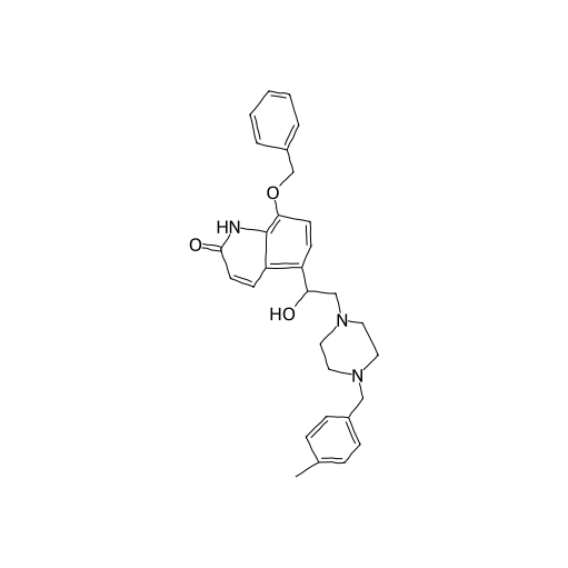 Cc1ccc(CN2CCN(CC(O)c3ccc(OCc4ccccc4)c4[nH]c(=O)ccc34)CC2)cc1